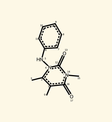 Cc1c(C)n(Nc2ccccc2)c(=O)n(C)c1=O